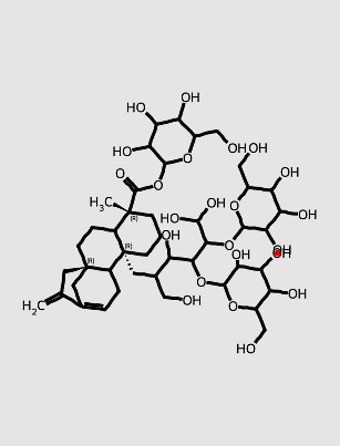 C=C1C[C@@]23CCC4[C@@](CC(CO)C(O)C(OC5OC(CO)C(O)C(O)C5O)C(OC5OC(CO)C(O)C(O)C5O)C(O)O)(CCC[C@@]4(C)C(=O)OC4OC(CO)C(O)C(O)C4O)C2CC=C1C3